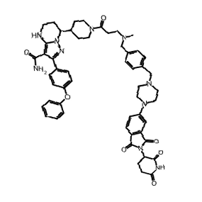 CN(CCC(=O)N1CCC([C@@H]2CCNc3c(C(N)=O)c(-c4ccc(Oc5ccccc5)cc4)nn32)CC1)Cc1ccc(CN2CCN(c3ccc4c(c3)C(=O)N(C3CCC(=O)NC3=O)C4=O)CC2)cc1